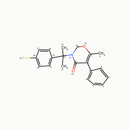 CC1=C(c2ccccc2)C(=O)N(C(C)(C)c2ccc(F)cc2)CO1